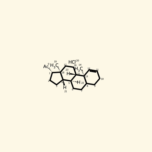 CC(=O)[C@H]1CC[C@H]2[C@@H]3CCC4CCC=C[C@]4(C)[C@H]3CC[C@]12C.Cl